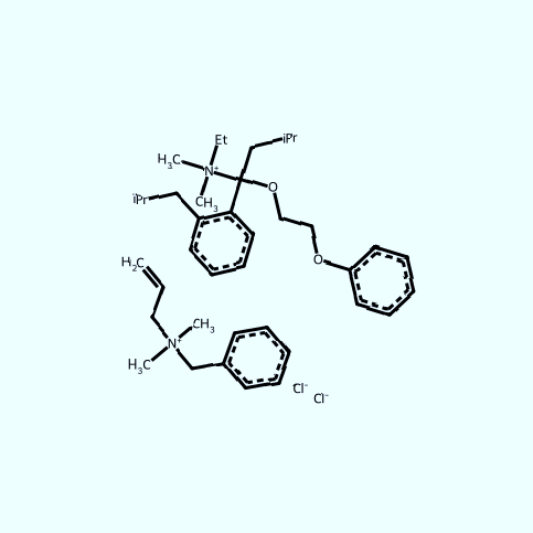 C=CC[N+](C)(C)Cc1ccccc1.CC[N+](C)(C)C(CC(C)C)(OCCOc1ccccc1)c1ccccc1CC(C)C.[Cl-].[Cl-]